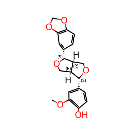 COc1cc([C@H]2OC[C@H]3[C@@H]2CO[C@@H]3c2ccc3c(c2)OCO3)ccc1O